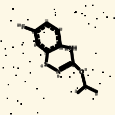 CC(C)OC1=NSc2cc(F)ccc2N1